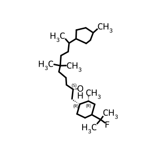 CC1CCC(C(C)CCC(C)(C)CCC[C@H](O)C[C@H]2CCC(C(C)(C)F)C[C@H]2C)CC1